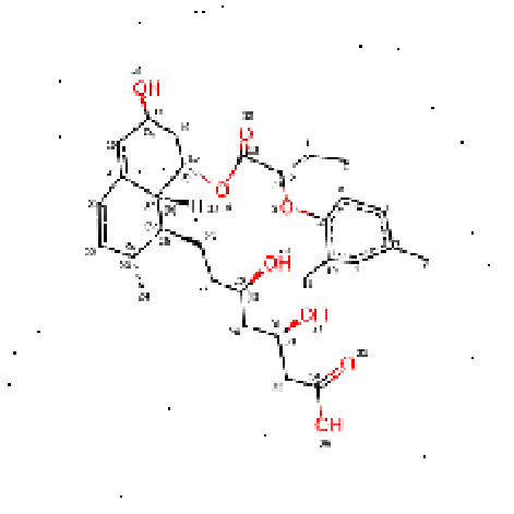 CC[C@H](Oc1ccc(C)cc1C)C(=O)O[C@H]1C[C@H](O)C=C2C=C[C@@H](C)[C@H](CC[C@@H](O)C[C@@H](O)CC(=O)O)[C@H]21